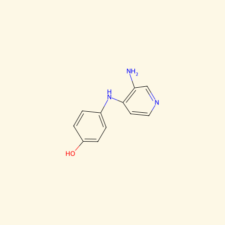 Nc1cnccc1Nc1ccc(O)cc1